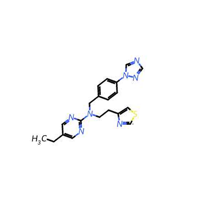 CCc1cnc(N(CCc2cs[c]n2)Cc2ccc(-n3cncn3)cc2)nc1